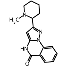 CN1CCCCC1c1cc2[nH]c(=O)c3ccccc3n2n1